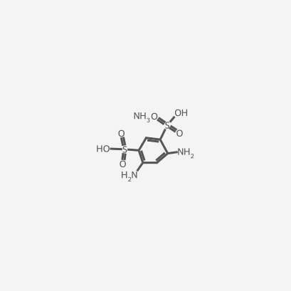 N.Nc1cc(N)c(S(=O)(=O)O)cc1S(=O)(=O)O